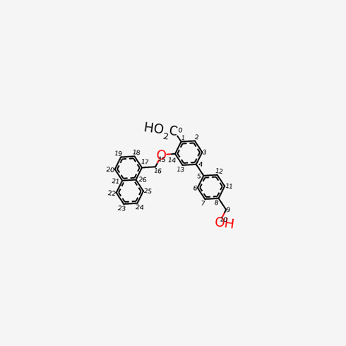 O=C(O)c1ccc(-c2ccc(CO)cc2)cc1OCc1cccc2ccccc12